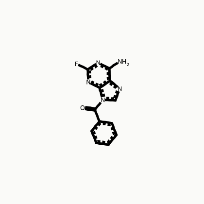 Nc1nc(F)nc2c1ncn2C(=O)c1ccccc1